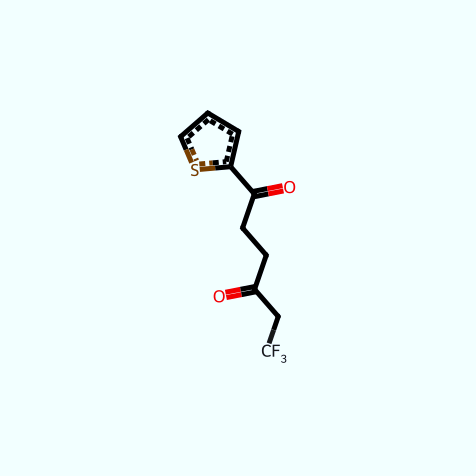 O=C(CCC(=O)c1cccs1)CC(F)(F)F